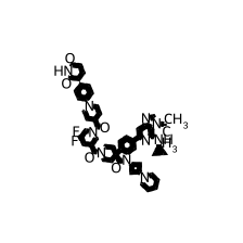 CC(C)n1cnc2cc(-c3ccc4c(c3)N(C3CC(N5CCCCC5)C3)C(=O)C43CCN(C(=O)C4CN(C(=O)C5CCN(c6ccc([C@H]7CCC(=O)NC7=O)cc6)CC5)CC(F)(F)C4)CC3)nc(NC3CC3)c21